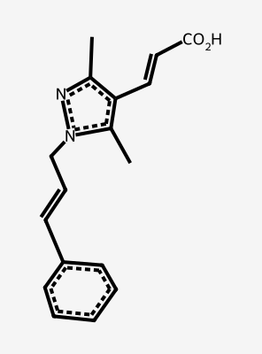 Cc1nn(CC=Cc2ccccc2)c(C)c1/C=C/C(=O)O